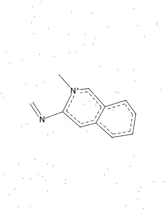 C=Nc1cc2ccccc2c[n+]1C